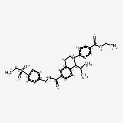 CCOC(=O)c1cnc(N2CCc3cc(C(=O)NCc4ccc(S(=O)(=O)CC)cc4)ccc3C2C(C)C)nc1